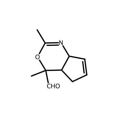 CC1=NC2C=CCC2C(C)(C=O)O1